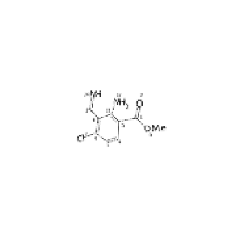 COC(=O)c1ccc(Cl)c(C=N)c1N